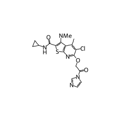 CNc1c(C(=O)NC2CC2)sc2nc(OCC(=O)n3ccnc3)c(Cl)c(C)c12